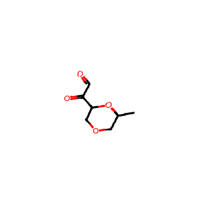 CC1COCC(C(=O)C=O)O1